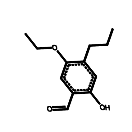 CCCc1cc(O)c(C=O)cc1OCC